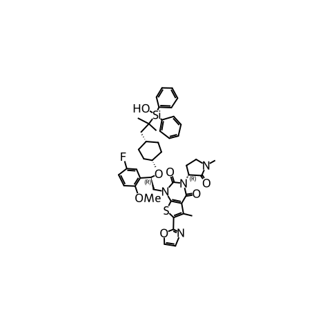 COc1ccc(F)cc1[C@H](Cn1c(=O)n([C@@H]2CCN(C)C2=O)c(=O)c2c(C)c(-c3ncco3)sc21)O[C@H]1CC[C@@H](CC(C)(C)[Si](O)(c2ccccc2)c2ccccc2)CC1